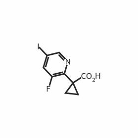 O=C(O)C1(c2ncc(I)cc2F)CC1